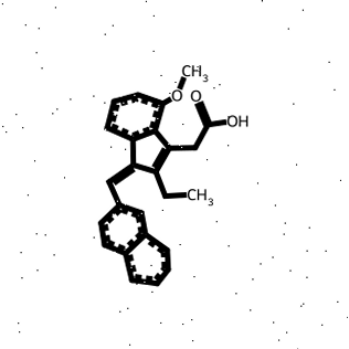 CCC1=C(CC(=O)O)c2c(OC)cccc2C1=Cc1ccc2ccccc2c1